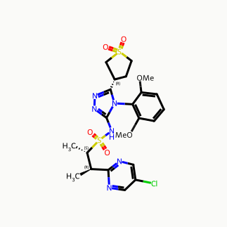 COc1cccc(OC)c1-n1c(NS(=O)(=O)[C@@H](C)[C@H](C)c2ncc(Cl)cn2)nnc1[C@H]1CCS(=O)(=O)C1